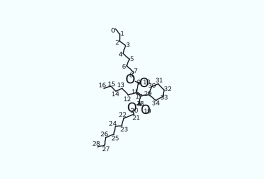 CCCCCCCCOC(=O)C(CCCCC)=C(C(=O)OCCCCCCCC)C1CCCCC1